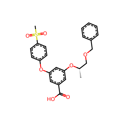 C[C@@H](COCc1ccccc1)Oc1cc(Oc2ccc(S(C)(=O)=O)cc2)cc(C(=O)O)c1